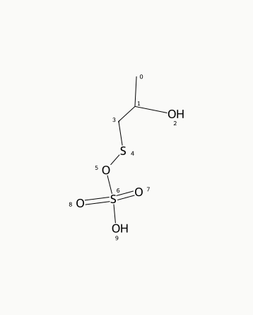 CC(O)CSOS(=O)(=O)O